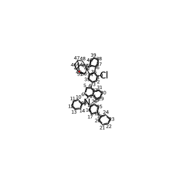 Clc1cc(-c2ccc(N(c3ccccc3)c3ccc(-c4ccccc4)cc3)c3ccccc23)cc2c1-c1ccccc1C21C2CC3CC(C2)CC1C3